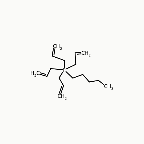 C=CCP(CC=C)(CC=C)(CC=C)CCCCC